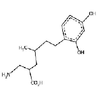 CC(CCc1ccc(O)cc1O)CC(CN)C(=O)O